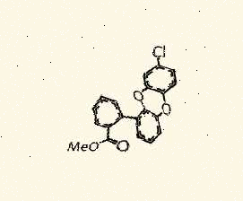 COC(=O)c1ccccc1-c1cccc2c1Oc1cc(Cl)ccc1O2